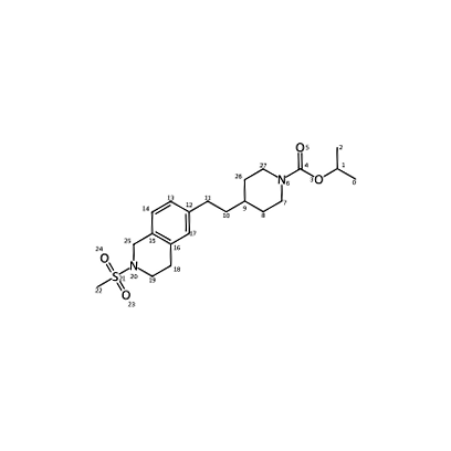 CC(C)OC(=O)N1CCC(CCc2ccc3c(c2)CCN(S(C)(=O)=O)C3)CC1